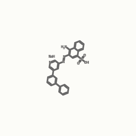 Nc1c(N=Nc2cncc(-c3cccc(-c4ccccc4)c3)c2)cc(S(=O)(=O)O)c2ccccc12.[NaH]